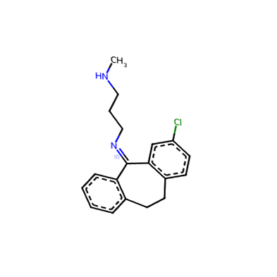 CNCCC/N=C1/c2ccccc2CCc2ccc(Cl)cc21